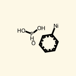 O=[PH](O)O.[Ni][c]1ccccc1